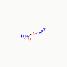 [N-]=[N+]=NCCOCCC(N)=O